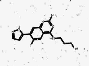 Nc1nc(NCCCO)c2cc(F)c(-c3ccn[nH]3)cc2n1